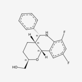 OC[C@H]1CC[C@@H]2[C@H](c3ccccc3)Nc3c(F)cc(F)cc3[C@@H]2O1